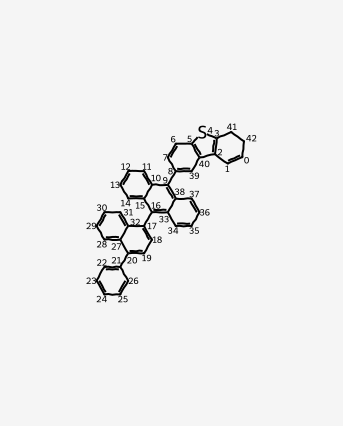 C1=Cc2c(sc3ccc(-c4c5ccccc5c(-c5ccc(-c6ccccc6)c6ccccc56)c5ccccc45)cc23)CC1